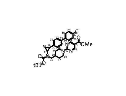 COC(=O)c1cnc(N2CCC(CN(C(=O)OC(C)(C)C)C3CC3c3ccc(-c4ccc(Cl)cc4)cc3)CC2)nc1